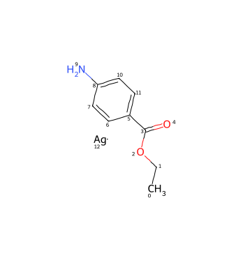 CCOC(=O)c1ccc(N)cc1.[Ag]